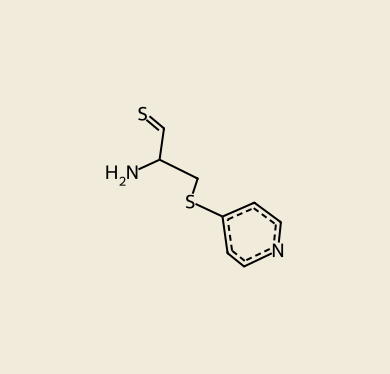 NC(C=S)CSc1ccncc1